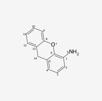 Nc1cccc2c1Oc1ccccc1C2